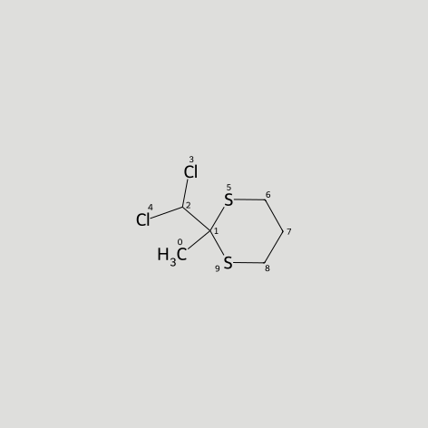 CC1(C(Cl)Cl)SCCCS1